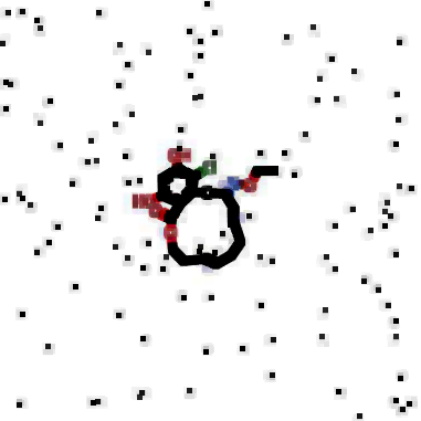 CCO/N=C1\C=C\CC/C=C/CCOC(=O)c2c(O)cc(O)c(Cl)c2C1